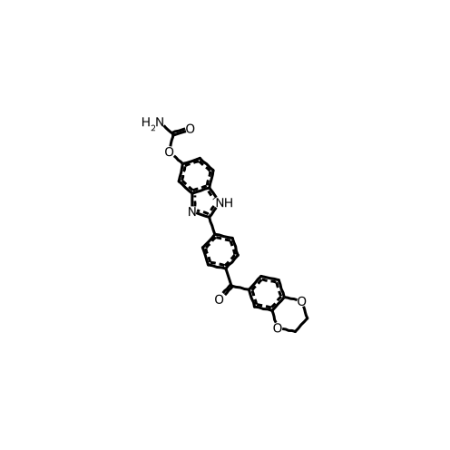 NC(=O)Oc1ccc2[nH]c(-c3ccc(C(=O)c4ccc5c(c4)OCCO5)cc3)nc2c1